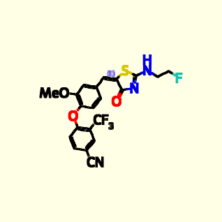 COc1cc(/C=C2/SC(NCCF)=NC2=O)ccc1Oc1ccc(C#N)cc1C(F)(F)F